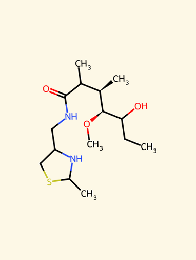 CCC(O)[C@@H](OC)[C@H](C)C(C)C(=O)NCC1CSC(C)N1